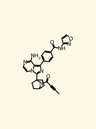 CC#CC(=O)N1C2CCC1(c1nc(-c3ccc(C(=O)Nc4ccon4)cc3)c3c(N)nccn13)CC2